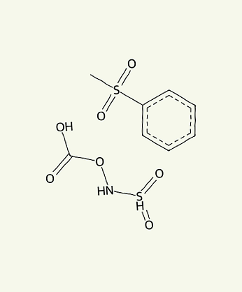 CS(=O)(=O)c1ccccc1.O=C(O)ON[SH](=O)=O